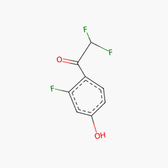 O=C(c1ccc(O)cc1F)C(F)F